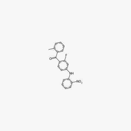 Cc1ccccc1C(=O)c1ccc(Nc2ccccc2[N+](=O)[O-])cc1F